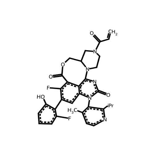 C=CC(=O)N1CCN2c3nc(=O)n(-c4c(C)ccnc4C(C)C)c4cc(-c5c(O)cccc5F)c(F)c(c34)C(=O)OCC2C1